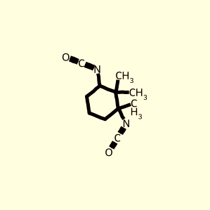 CC1(N=C=O)CCCC(N=C=O)C1(C)C